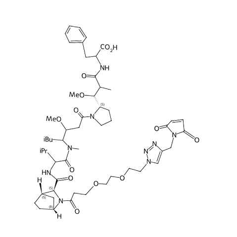 CCC(C)C(C(CC(=O)N1CCC[C@H]1C(OC)C(C)C(=O)NC(Cc1ccccc1)C(=O)O)OC)N(C)C(=O)C(NC(=O)[C@@H]1[C@H]2CC[C@H](C2)N1C(=O)CCOCCOCCn1cc(CN2C(=O)C=CC2=O)nn1)C(C)C